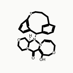 O=C1/C2=C(\O)COC/C=C\N2N([C@H]2c3cccc(c3)CCCSc3cccc2c3)[C@@H]2COCCN12